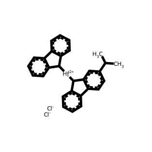 CC(C)c1ccc2c(c1)[CH]([Hf+2][CH]1c3ccccc3-c3ccccc31)c1ccccc1-2.[Cl-].[Cl-]